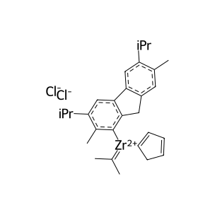 C[C](C)=[Zr+2]([C]1=CC=CC1)[c]1c(C)c(C(C)C)cc2c1Cc1cc(C)c(C(C)C)cc1-2.[Cl-].[Cl-]